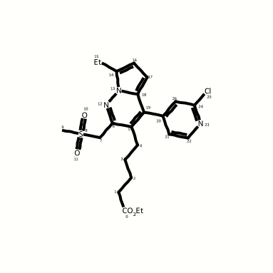 CCOC(=O)CCCCc1c(CS(C)(=O)=O)nn2c(CC)ccc2c1-c1ccnc(Cl)c1